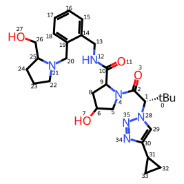 CC(C)(C)[C@@H](C(=O)N1CC(O)CC1C(=O)NCc1ccccc1CN1CCCC1CO)n1cc(C2CC2)nn1